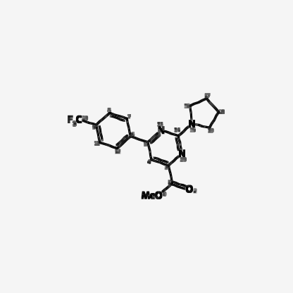 COC(=O)c1cc(-c2ccc(C(F)(F)F)cc2)nc(N2CCCC2)n1